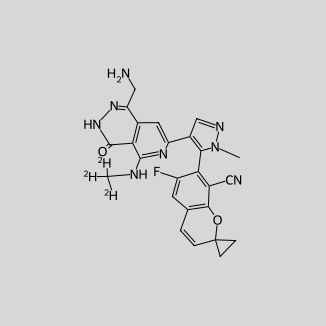 [2H]C([2H])([2H])Nc1nc(-c2cnn(C)c2-c2c(F)cc3c(c2C#N)OC2(C=C3)CC2)cc2c(CN)n[nH]c(=O)c12